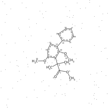 COC(=O)C(C)(C)c1c(OC)ccc(-c2ccccc2)c1OC